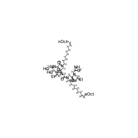 CCCCCCCC/C=C\CCCCCCCCN(CC(=O)N(CC(=O)N(CCCCCCCC/C=C\CCCCCCCC)CC(=O)N(CC(N)=O)CC(CC)CCCC)CC(CC)CCCC)C(=O)CNC(CO)CO